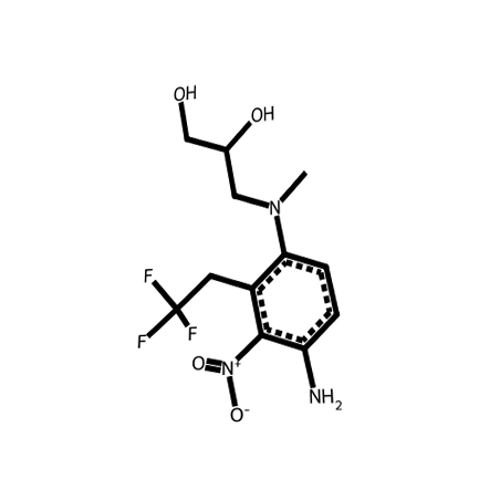 CN(CC(O)CO)c1ccc(N)c([N+](=O)[O-])c1CC(F)(F)F